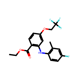 CCOC(=O)c1ccc(OCC(F)(F)F)cc1Nc1ccc(F)cc1C